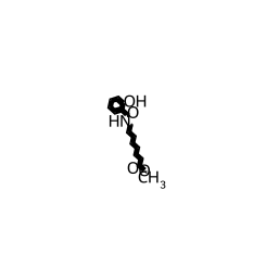 COC(=O)CCCCCCCNC(=O)C1=CCCC=C1O